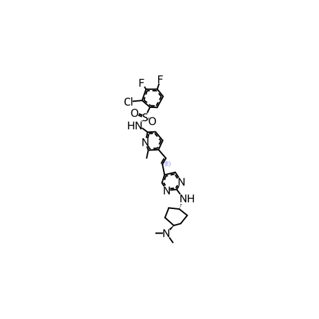 Cc1nc(NS(=O)(=O)c2ccc(F)c(F)c2Cl)ccc1/C=C/c1cnc(N[C@H]2CC[C@H](N(C)C)CC2)nc1